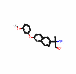 CC(N)(CO)c1ccc2cc(Oc3cccc(OC(F)(F)F)c3)ccc2c1